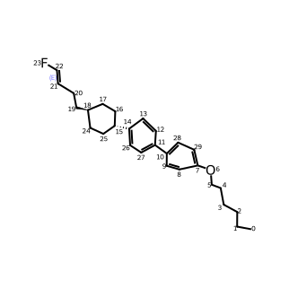 CCCCCCOc1ccc(-c2ccc([C@H]3CC[C@H](CC/C=C/F)CC3)cc2)cc1